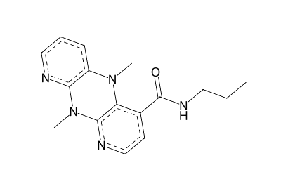 CCCNC(=O)c1ccnc2c1N(C)c1cccnc1N2C